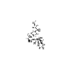 COC1CN(C(=O)C2CCN(c3c(F)cncc3NC(=O)c3c(N)nn4cc(F)cnc34)CC2)C1